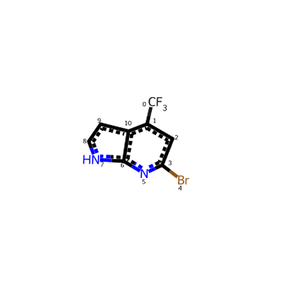 FC(F)(F)c1cc(Br)nc2[nH]ccc12